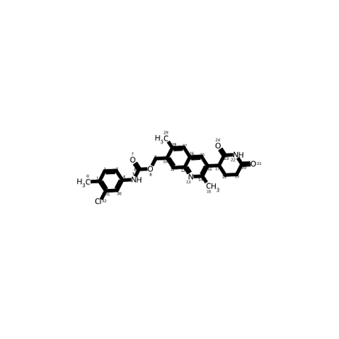 Cc1ccc(NC(=O)OCc2cc3nc(C)c(C4CCC(=O)NC4=O)cc3cc2C)cc1Cl